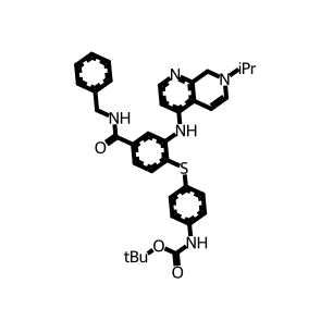 CC(C)N1C=Cc2c(Nc3cc(C(=O)NCc4ccccc4)ccc3Sc3ccc(NC(=O)OC(C)(C)C)cc3)ccnc2C1